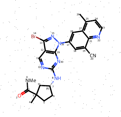 CNC(=O)C1(C)CC[C@@H](Nc2ncc3c(Br)nn(-c4cc(C#N)c5nccc(C)c5c4)c3n2)C1